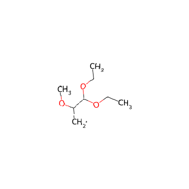 [CH2]C(OC)C(OCC)OCC